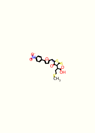 CSCCC(C(=O)O)C1C(=O)/C(=C\c2ccc(-c3ccc([N+](=O)[O-])cc3)o2)SC1=S